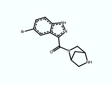 O=C(c1n[nH]c2ccc(Br)cc12)N1CC2CC1CN2